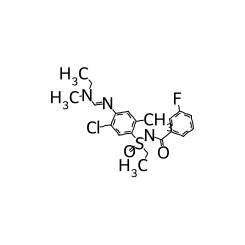 CCN(C)/C=N/c1cc(C)c(S(=O)(CC)=NC(=O)c2cccc(F)c2)cc1Cl